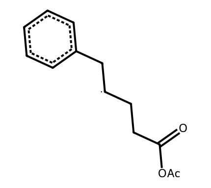 CC(=O)OC(=O)CC[CH]Cc1ccccc1